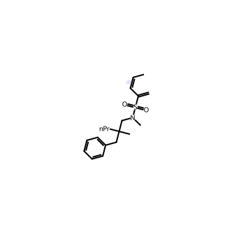 C=C(/C=C\C)S(=O)(=O)N(C)CC(C)(CCC)Cc1ccccc1